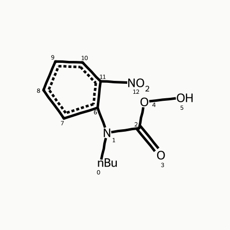 CCCCN(C(=O)OO)c1ccccc1[N+](=O)[O-]